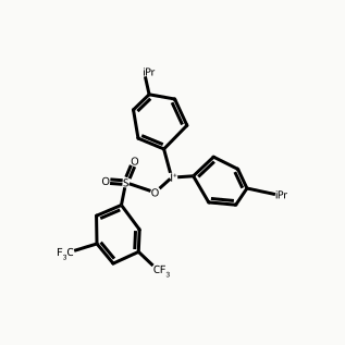 CC(C)c1ccc([I+](OS(=O)(=O)c2cc(C(F)(F)F)cc(C(F)(F)F)c2)c2ccc(C(C)C)cc2)cc1